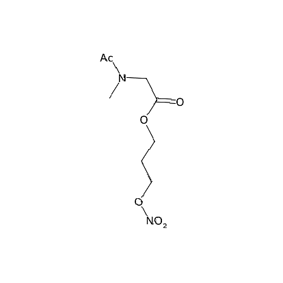 CC(=O)N(C)CC(=O)OCCCO[N+](=O)[O-]